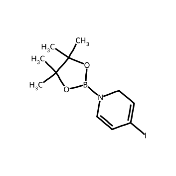 CC1(C)OB(N2C=CC(I)=CC2)OC1(C)C